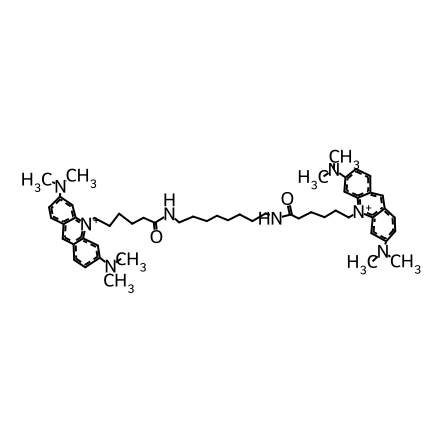 CN(C)c1ccc2cc3ccc(N(C)C)cc3[n+](CCCCCC(=O)NCCCCCCCCNC(=O)CCCCC[n+]3c4cc(N(C)C)ccc4cc4ccc(N(C)C)cc43)c2c1